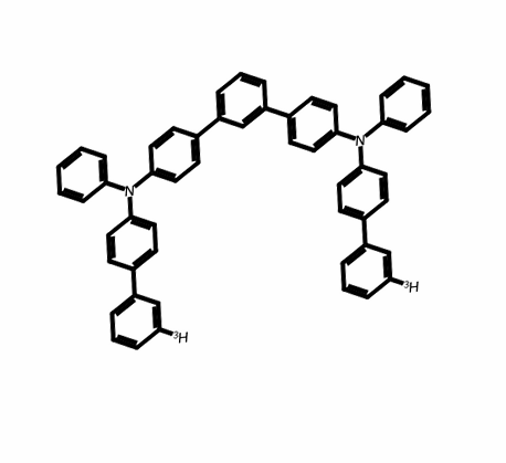 [3H]c1cccc(-c2ccc(N(c3ccccc3)c3ccc(-c4cccc(-c5ccc(N(c6ccccc6)c6ccc(-c7cccc([3H])c7)cc6)cc5)c4)cc3)cc2)c1